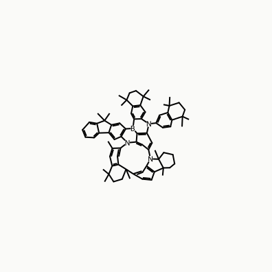 Cc1cc2c3cc1N1c4cc5c(cc4B4c6cc7c(cc6N(c6ccc8c(c6)C(C)(C)CCC8(C)C)c6cc(cc1c64)N1c4cc(ccc4C4(C)CCCCC14C)C3(C)CCC2(C)C)C(C)(C)CCC7(C)C)C(C)(C)c1ccccc1-5